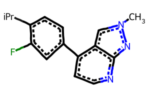 CC(C)c1ccc(-c2ccnc3nn(C)cc23)cc1F